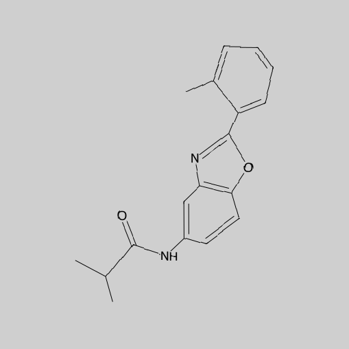 Cc1ccccc1-c1nc2cc(NC(=O)C(C)C)ccc2o1